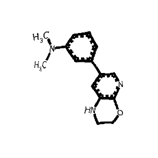 CN(C)c1cccc(-c2cnc3c(c2)NCCO3)c1